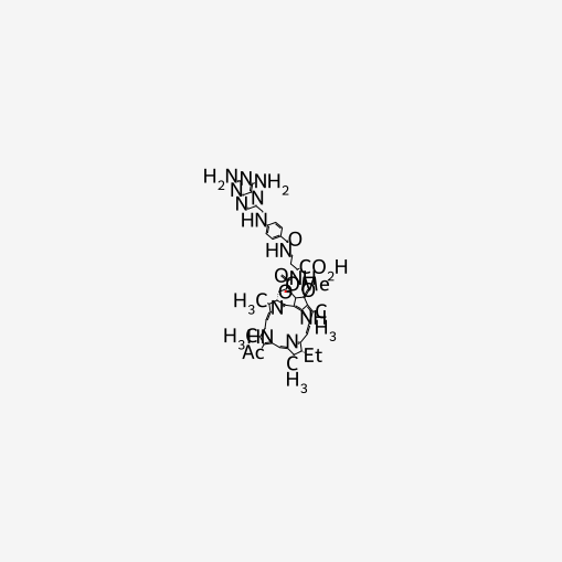 CC[C@H]1c2cc3[nH]c4c(c3C)C(=O)C(C(=O)OC)c4c3nc(cc4[nH]c(cc(n2)[C@@H]1C)c(C(C)=O)c4C)[C@@H](C)[C@@H]3CCC(=O)NC(CCNC(=O)c1ccc(NCc2cnc3nc(N)nc(N)c3n2)cc1)C(=O)O